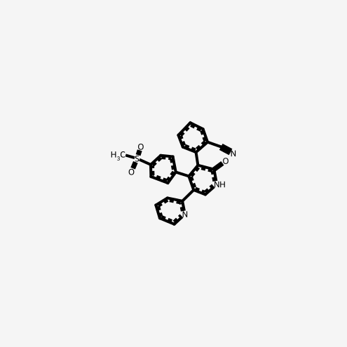 CS(=O)(=O)c1ccc(-c2c(-c3ccccn3)c[nH]c(=O)c2-c2ccccc2C#N)cc1